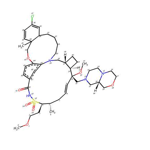 COCC[C@@H]1[C@@H](C)C/C=C/[C@@](CN2CCN3CCOC[C@@H]3C2)(OC)[C@@H]2CC[C@H]2CN2CCCCC3C=C(Cl)C=CC3(C)COc3ccc(cc32)C(=O)NS1(=O)=O